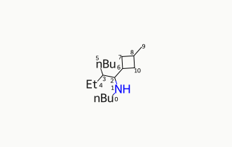 CCCCNC(C(CC)CCCC)C1CC(C)C1